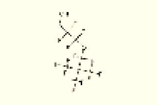 OCC(F)(F)C(F)(F)OC(F)(F)C(C(F)(F)F)(C(F)(F)F)C(F)(F)F